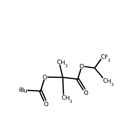 CCC(C)C(=O)OC(C)(C)C(=O)OC(C)C(F)(F)F